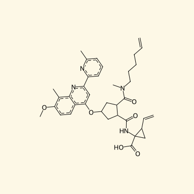 C=CCCCCN(C)C(=O)C1CC(Oc2cc(-c3cccc(C)n3)nc3c(C)c(OC)ccc23)CC1C(=O)NC1(C(=O)O)CC1C=C